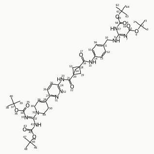 CC(C)(C)OC(=O)/N=C(/NCc1ccc(NC(=O)C23CC(C(=O)Nc4ccc(C5=CCN(/C(=N\C(=O)OC(C)(C)C)NC(=O)OC(C)(C)C)CC5)nn4)(C2)C3)cc1)NC(=O)OC(C)(C)C